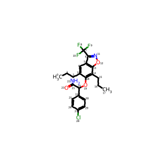 CCCc1cc2c(C(F)(F)F)noc2c(CCC)c1OC(C(N)=O)c1ccc(Cl)cc1